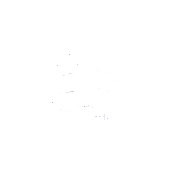 NCCC1CCCOC1[SiH](c1ccccc1)c1ccccc1